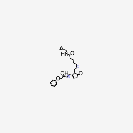 O=C(CCC/C=C\CC1C(=O)CC=C1/C=C/[C@@H](O)COc1ccccc1)NCC1CC1